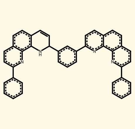 C1=CC(c2cccc(-c3ccc4ccc5ccc(-c6ccccc6)nc5c4n3)c2)Nc2c1ccc1ccc(-c3ccccc3)nc21